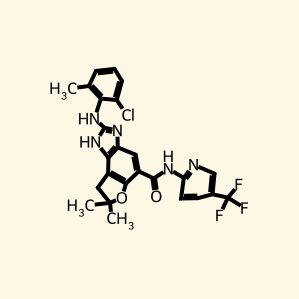 Cc1cccc(Cl)c1Nc1nc2cc(C(=O)Nc3ccc(C(F)(F)F)cn3)c3c(c2[nH]1)CC(C)(C)O3